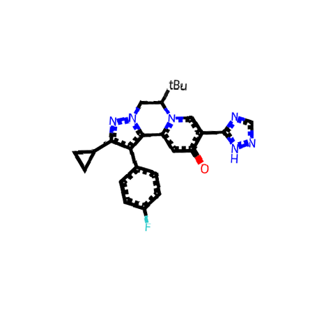 CC(C)(C)C1Cn2nc(C3CC3)c(-c3ccc(F)cc3)c2-c2cc(=O)c(-c3ncn[nH]3)cn21